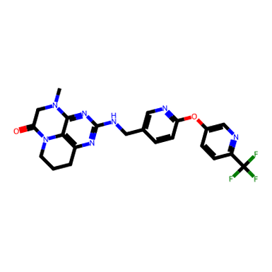 CN1CC(=O)N2CCCc3nc(NCc4ccc(Oc5ccc(C(F)(F)F)nc5)nc4)nc1c32